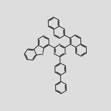 c1ccc(-c2ccc(-c3nc(-c4c(-c5ccc6ccccc6c5)ccc5ccccc45)nc(-c4cccc5c4sc4ccccc45)n3)cc2)cc1